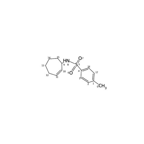 Cc1ccc(S(=O)(=O)NC2C=CCCCC2)cc1